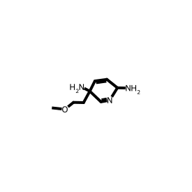 COCCC1(N)C=CC(N)N=C1